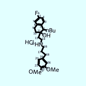 CCCCC1c2ccc(F)cc2CCC1(O)CCNCCCc1ccc(OC)c(OC)c1.Cl